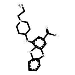 NCCN1CCC(Nc2cc(C(N)=O)cc3c2Nc2ccccc2S3)CC1